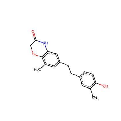 Cc1cc(CCc2cc(C)c3c(c2)NC(=O)CO3)ccc1O